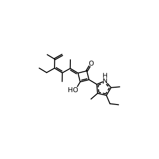 C=C(C)/C(CC)=C(C)\C(C)=C1\C(=O)C(c2[nH]c(C)c(CC)c2C)=C1O